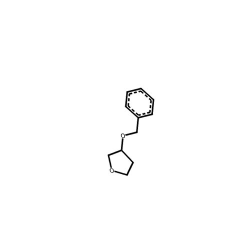 c1ccc(COC2CCOC2)cc1